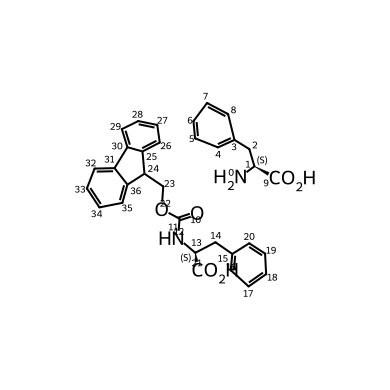 N[C@@H](Cc1ccccc1)C(=O)O.O=C(N[C@@H](Cc1ccccc1)C(=O)O)OCC1c2ccccc2-c2ccccc21